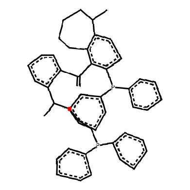 C=C(c1ccccc1C(C)CCCP(c1ccccc1)c1ccccc1)c1c(P(c2ccccc2)c2ccccc2)ccc2c1CCCCC2C